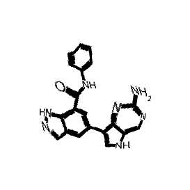 Nc1ncc2[nH]cc(-c3cc(C(=O)Nc4ccccc4)c4[nH]ncc4c3)c2n1